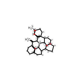 C=C(C1=CCCCC1)C(CCCC)N(C1CCCCC1C1=CCCCC1)C1CCCCC1C1CCCCC1